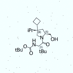 CC(C)[C@@]1(C2CCC2)C[C@@H](CO)N(C(=O)[C@@H](NC(=O)OC(C)(C)C)C(C)(C)C)C1